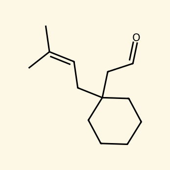 CC(C)=CCC1(CC=O)CCCCC1